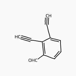 C#Cc1cccc(C=O)c1C#C